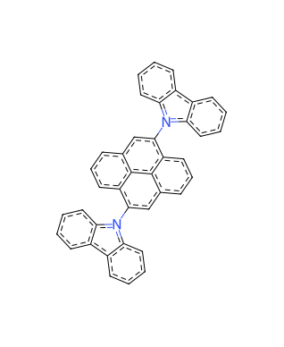 c1cc2cc(-n3c4ccccc4c4ccccc43)c3cccc4cc(-n5c6ccccc6c6ccccc65)c(c1)c2c43